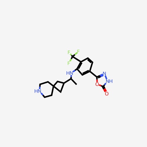 CC(Nc1cc(-c2n[nH]c(=O)o2)ccc1C(F)(F)F)C1CC2(CCNCC2)C1